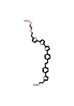 CCCCCCOCCOCCc1ccc(-c2ccc(-c3ccc(-c4ccc(/C=C/c5ccc(-c6ccc(CCOCC)s6)cc5)cc4)s3)s2)s1